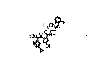 Cn1c(CCNC(=O)C2CC(O)CN2C(=O)[C@@H](n2cc(C3CC3)nn2)C(C)(C)C)nc2c(F)cccc21